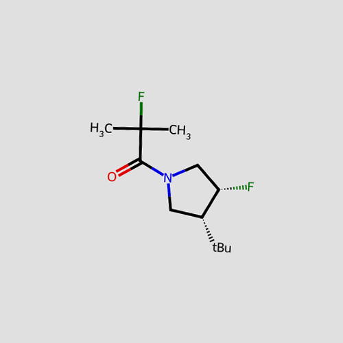 CC(C)(F)C(=O)N1C[C@@H](C(C)(C)C)[C@@H](F)C1